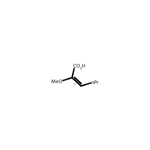 CCC/C=C(/OC)C(=O)O